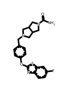 NC(=O)N1CC2CN(Cc3ccc(Oc4nc5ccc(F)cc5s4)cc3)CC2C1